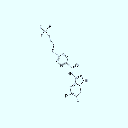 O=C(Nc1c[nH]c2cc(F)c(F)cc12)c1ccc(OCCCC(F)(F)F)cn1